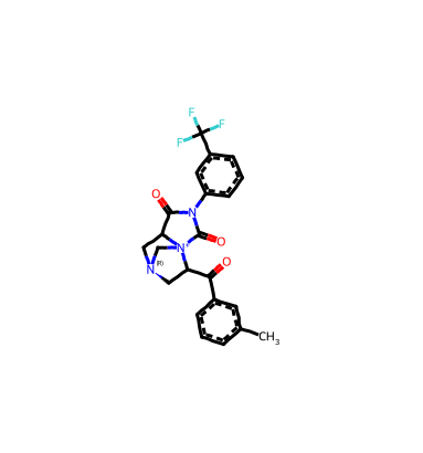 Cc1cccc(C(=O)C2C[N@@]3CC4C(=O)N(c5cccc(C(F)(F)F)c5)C(=O)[N+]24C3)c1